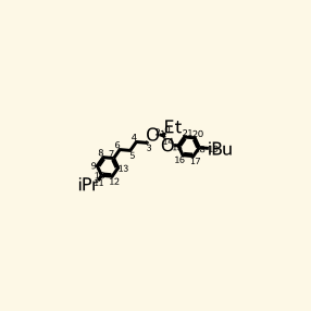 CCC(OCCCCc1ccc(C(C)C)cc1)Oc1ccc(C(C)CC)cc1